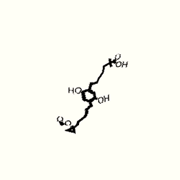 CC(C)(CCCCCc1cc(O)c(CCCCCC2(OC=O)CC2)cc1O)C(=O)O